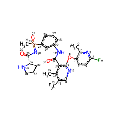 Cc1nc(F)ccc1Oc1ncc(C(F)(F)F)c(C)c1C(=O)Nc1cccc([S@@](C)(=O)=NC(=O)[C@@H]2CCCN2)c1